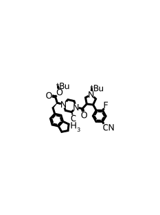 C[C@H]1CN([C@@H](Cc2ccc3c(c2)CCC3)C(=O)OC(C)(C)C)CCN1C(=O)C1CN(C(C)(C)C)CC1c1ccc(C#N)cc1F